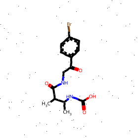 CC(NC(=O)O)C(C)C(=O)NCC(=O)c1ccc(Br)cc1